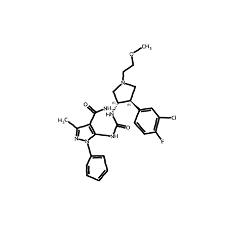 COCCN1C[C@@H](NC(=O)Nc2c(C(N)=O)c(C)nn2-c2ccccc2)[C@H](c2ccc(F)c(Cl)c2)C1